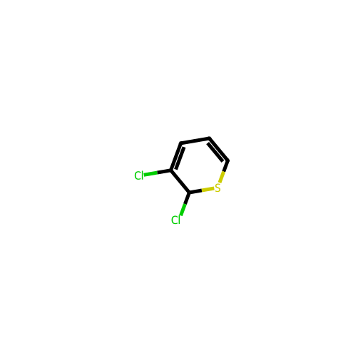 ClC1=CC=CSC1Cl